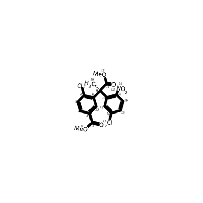 COC(=O)c1ccc(Cl)c([C@@](C)(C(=O)OC)c2cc(Cl)ccc2[N+](=O)[O-])c1